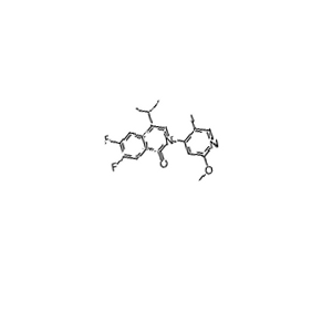 COc1cc(-n2cc(C(C)C)c3cc(F)c(F)cc3c2=O)c(C)cn1